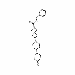 O=C1CCC(C2CCN(C3CC4(C3)CN(C(=O)OCc3ccccc3)C4)CC2)CC1